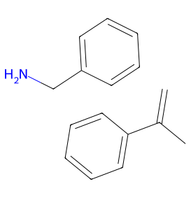 C=C(C)c1ccccc1.NCc1ccccc1